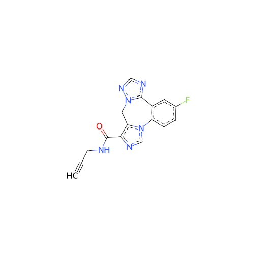 C#CCNC(=O)c1ncn2c1Cn1ncnc1-c1cc(F)ccc1-2